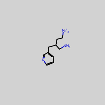 NCCC(CN)Cc1cccnc1